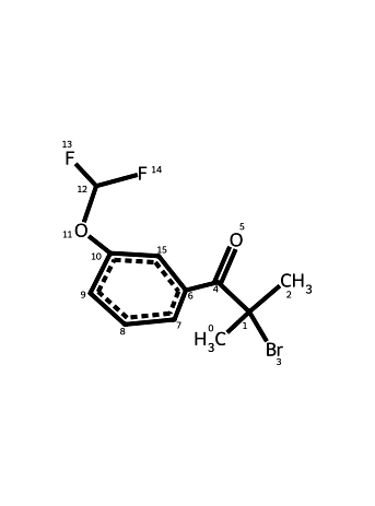 CC(C)(Br)C(=O)c1cccc(OC(F)F)c1